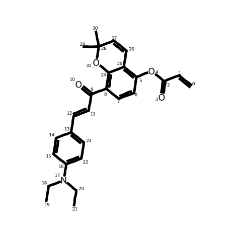 C=CC(=O)Oc1ccc(C(=O)C=Cc2ccc(N(CC)CC)cc2)c2c1C=CC(C)(C)O2